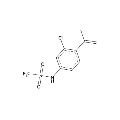 C=C(C)c1ccc(NS(=O)(=O)C(F)(F)F)cc1Cl